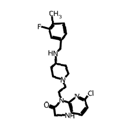 Cc1ccc(CNC2CCN(CCN3C(=O)CNc4ccc(Cl)nc43)CC2)cc1F